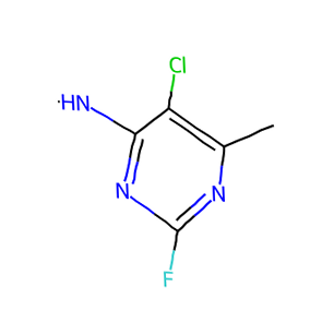 Cc1nc(F)nc([NH])c1Cl